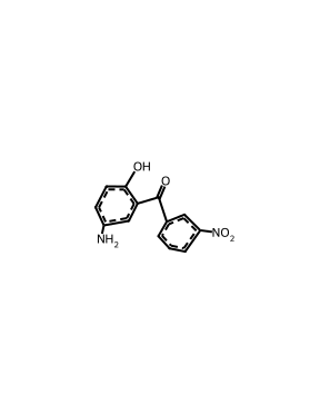 Nc1ccc(O)c(C(=O)c2cccc([N+](=O)[O-])c2)c1